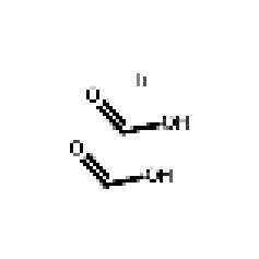 O=CO.O=CO.[Ti]